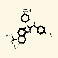 COC(=O)N1c2ccc3c(nc(Nc4ccc(C)cc4)n3[C@H]3CC[C@H](C(=O)O)CC3)c2CC[C@@H]1C